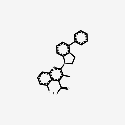 Cc1c(N2CCc3c(-c4ccccc4)cccc32)nc2cccc(F)c2c1C(=O)O